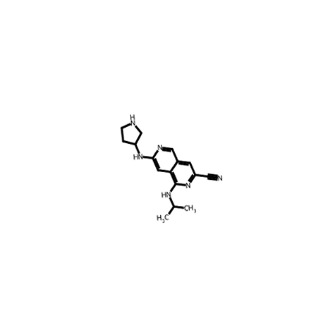 CC(C)Nc1nc(C#N)cc2cnc(NC3CCNC3)cc12